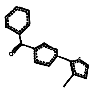 Cc1ccsc1-c1ccc(C(=O)c2ccccc2)cc1